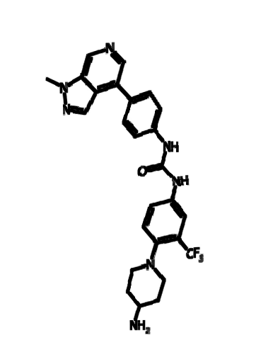 Cn1ncc2c(-c3ccc(NC(=O)Nc4ccc(N5CCC(N)CC5)c(C(F)(F)F)c4)cc3)cncc21